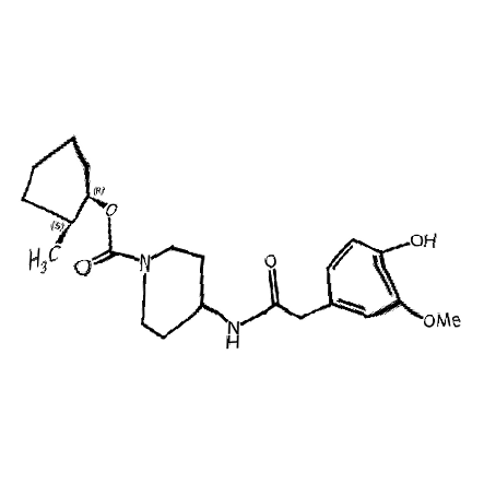 COc1cc(CC(=O)NC2CCN(C(=O)O[C@@H]3CCCC[C@@H]3C)CC2)ccc1O